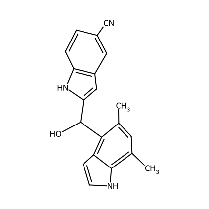 Cc1cc(C)c2[nH]ccc2c1C(O)c1cc2cc(C#N)ccc2[nH]1